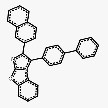 c1ccc(-c2ccc(-c3c(-c4ccc5ccccc5c4)nc4oc5ccccc5n34)cc2)cc1